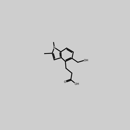 Cc1cc2c(CCC(=O)O)c(CO)ccc2n1C